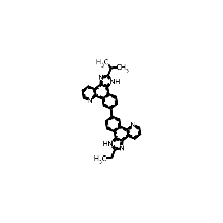 CCc1nc2c3cccnc3c3cc(-c4ccc5c(c4)c4ncccc4c4nc(C(C)C)[nH]c54)ccc3c2[nH]1